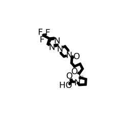 O=C(CC1CCC([C@@H]2CCCN2C(=O)O)O1)N1CCN(c2ncc(C(F)(F)F)cn2)CC1